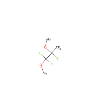 CCCOC(F)(F)C(F)(OCCC)C(F)(F)F